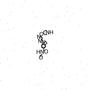 COCCNC(=O)c1ccc2c(c1)CCN2c1cc(OC2CCNCC2)ncn1